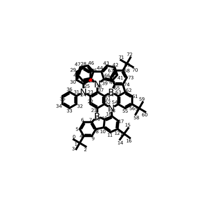 CC(C)(C)c1ccc2c(c1)-c1cc(C(C)(C)C)cc3c1B2c1cc(N(c2ccccc2)c2ccccc2)c(-n2c4ccccc4c4ccccc42)c2c1N3c1cc(C(C)(C)C)cc3c1B2c1ccc(C(C)(C)C)cc1-3